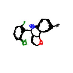 CC(C)c1ccc2c(c1)C1OCCC1C(c1c(F)cccc1Cl)N2